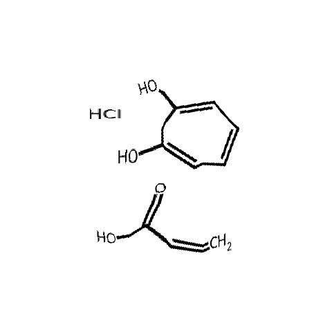 C=CC(=O)O.Cl.Oc1ccccc1O